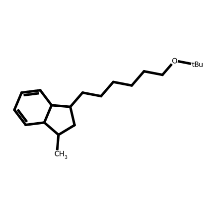 CC1CC(CCCCCCOC(C)(C)C)C2C=CC=CC12